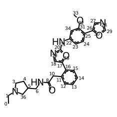 CCN1CCC(CNC(=O)Cc2ccccc2-c2cnc(Nc3ccc(-c4cnco4)c(OC)c3)o2)C1